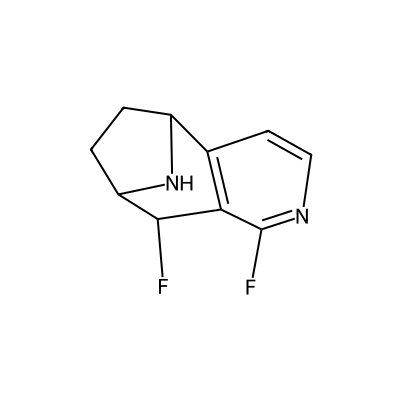 Fc1nccc2c1C(F)C1CCC2N1